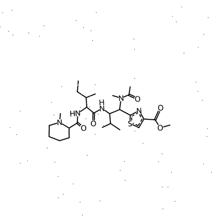 CCC(C)C(NC(=O)C1CCCCN1C)C(=O)NC(C(C)C)C(c1nc(C(=O)OC)cs1)N(C)C(C)=O